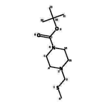 CSCN1CCN(C(=O)OC(C)(C)C)CC1